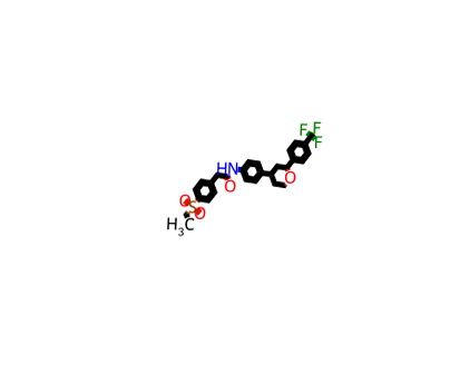 CCS(=O)(=O)c1ccc(CC(=O)Nc2ccc(C3CCOC(c4ccc(C(F)(F)F)cc4)C3)cc2)cc1